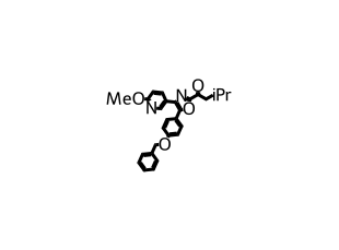 COc1ccc(-c2nc(C(=O)CC(C)C)oc2-c2ccc(OCc3ccccc3)cc2)cn1